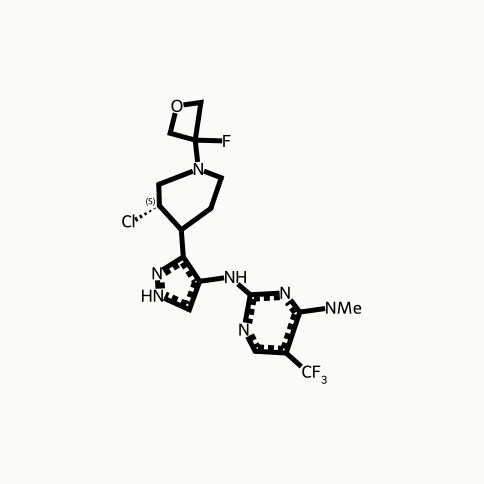 CNc1nc(Nc2c[nH]nc2C2CCN(C3(F)COC3)C[C@H]2Cl)ncc1C(F)(F)F